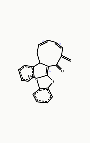 C=C1/C=C\C=C/CC(c2ccccc2)/C(=C2/Sc3ccccc3N2CC)C1=O